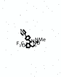 CNC(=O)N1N=C(c2ccc(N3CCN(C)CC3)cc2)c2cc(OC(F)(F)F)ccc2C[C@H]1C